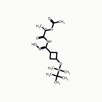 CC(=O)O[C@H](C)C(=O)N/C(=N\O)C1CC(O[Si](C)(C)C(C)(C)C)C1